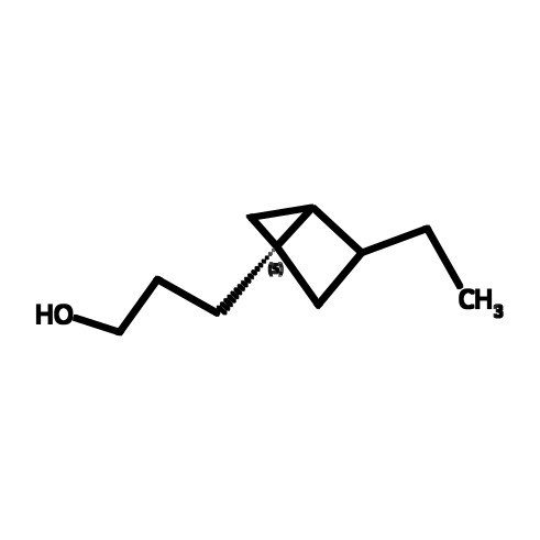 CCC1C[C@@]2(CCCO)CC12